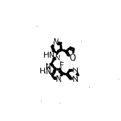 Fc1c(-c2cncnc2)ncc2[nH]nc(-c3nc4c(-c5ccoc5)cncc4[nH]3)c12